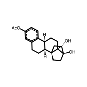 CC(=O)Oc1ccc2c(c1)CC[C@@H]1[C@@H]2CC[C@@]2(C)[C@]13CC[C@@]2(O)[C@@H](O)C3